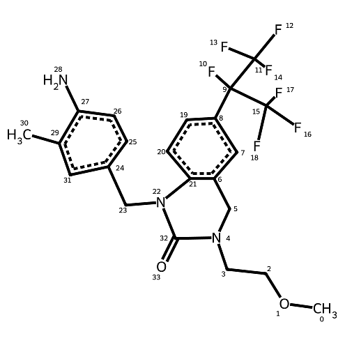 COCCN1Cc2cc(C(F)(C(F)(F)F)C(F)(F)F)ccc2N(Cc2ccc(N)c(C)c2)C1=O